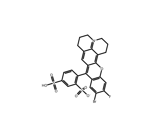 O=S(=O)([O-])c1cc(S(=O)(=O)O)ccc1C1=c2cc3c4c(c2Oc2cc(F)c(Br)cc21)CCC[N+]=4CCC3